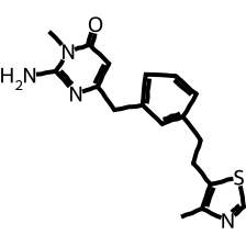 Cc1ncsc1CCc1cccc(Cc2cc(=O)n(C)c(N)n2)c1